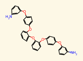 Nc1cccc(Oc2ccc(Oc3ccccc3Oc3ccccc3Oc3ccc(Oc4cccc(N)c4)cc3)cc2)c1